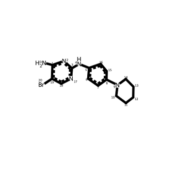 Nc1nc(Nc2ccc(N3CCCCC3)cc2)ncc1Br